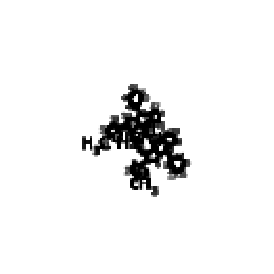 Cc1ccc(C2=Cc3c(cc4c(c3-c3ccccc3)CCC4)C2C[SiH](CC2C(c3ccc(C)o3)=Cc3c2cc2c(c3-c3ccccc3)CCC2)[Zr]([Cl])[Cl])o1